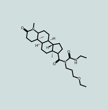 CCNC(=O)N(CCCOCC)C(=O)C1CC[C@H]2[C@@H]3CCC4N(C)C(=O)CC[C@]4(C)[C@@H]3CC[C@]12C